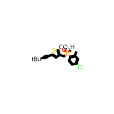 Cc1cc(Cl)ccc1P(C)(=O)Cc1cc(C#CC(C)(C)C)sc1C(=O)O